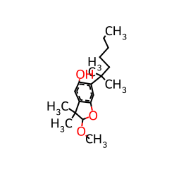 CCCCCC(C)(C)c1cc2c(cc1O)C(C)(C)C(OC)O2